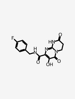 O=C1CCn2c(nc(C(=O)NCc3ccc(F)cc3)c(O)c2=O)N1